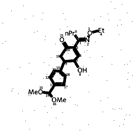 CCC/C(=N\OCC)C1=CC(O)C(c2ccc(C(OC)OC)cc2)CC1=O